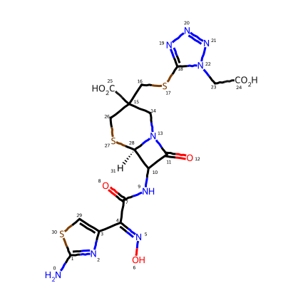 Nc1nc(C(=NO)C(=O)NC2C(=O)N3CC(CSc4nnnn4CC(=O)O)(C(=O)O)CS[C@H]23)cs1